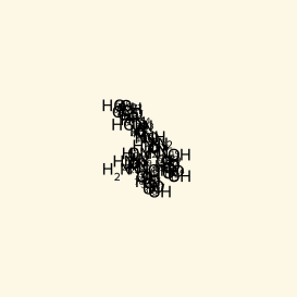 Nc1nc2c(ncn2[C@@H]2O[C@@H]3COP(=O)(O)O[C@H]3[C@H]2O)c(=O)[nH]1.Nc1nc2c(ncn2[C@@H]2O[C@@H]3COP(=O)(O)O[C@H]3[C@H]2O)c(=O)[nH]1.Nc1ncnc2c1ncn2[C@@H]1O[C@@H]2COP(=O)(O)O[C@H]2[C@H]1O